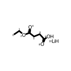 CCOC(=O)CCC(=O)O.[LiH]